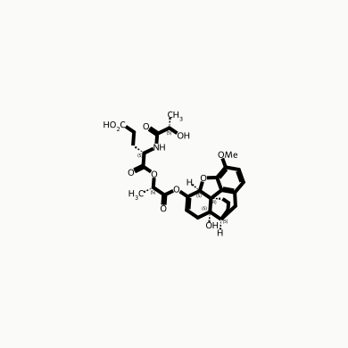 COc1ccc2c3c1O[C@@H]1C(OC(=O)[C@H](C)OC(=O)[C@H](CCC(=O)O)NC(=O)[C@H](C)O)=CC[C@]4(O)[C@@H](CCC[C@@]314)C2